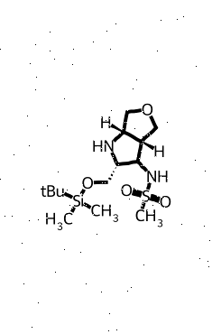 CC(C)(C)[Si](C)(C)OC[C@@H]1N[C@@H]2COC[C@@H]2C1NS(C)(=O)=O